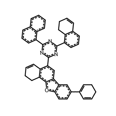 C1=CC(c2ccc3oc4c5c(c(-c6nc(-c7cccc8c7CCC=C8)nc(-c7cccc8ccccc78)n6)cc4c3c2)C=CCC5)=CCC1